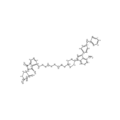 Nc1ncnc2c1c(-c1ccc(Oc3ccccc3)cc1)nn2C1CCN(CCOCCOCCSc2cccc3c2C(=O)N(C2CCC(=O)NC2=O)C3=O)CC1